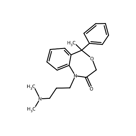 CN(C)CCCN1C(=O)COC(C)(c2ccccc2)c2ccccc21